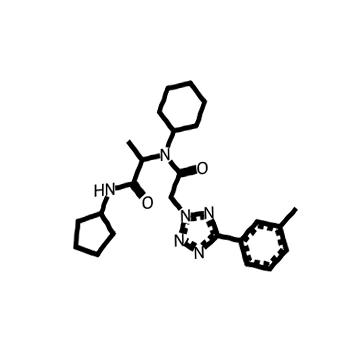 Cc1cccc(-c2nnn(CC(=O)N(C3CCCCC3)C(C)C(=O)NC3CCCC3)n2)c1